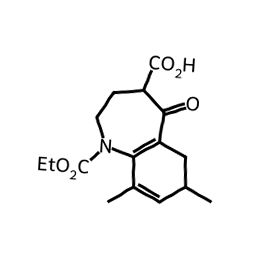 CCOC(=O)N1CCC(C(=O)O)C(=O)C2=C1C(C)=CC(C)C2